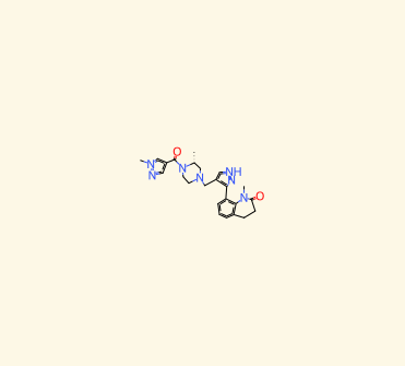 C[C@@H]1CN(Cc2c[nH]nc2-c2cccc3c2N(C)C(=O)CC3)CCN1C(=O)c1cnn(C)c1